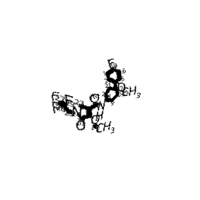 CCOC1=C(C(=O)NC2CCC(OC)(c3ccc(F)cc3)CC2)CN(CC(F)(F)F)C1=O